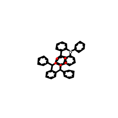 C1=C(c2ccccc2N(c2ccccc2)c2ccccc2)CCC2=C1C1(c3ccccc3)c3ccccc3C2(c2ccccc2)c2ccccc21